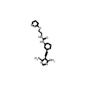 Nc1ncnc(N)c1C#Cc1cccc(NC(=O)NCCOc2cccnn2)c1